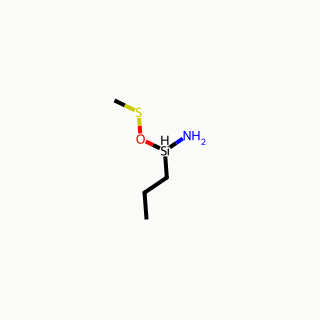 CCC[SiH](N)OSC